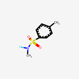 Cc1ccc(S(=O)(=O)N(C)F)cc1